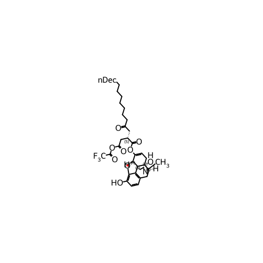 CCCCCCCCCCCCCCCCCC(=O)C[C@@H](CC(=O)OC(=O)C(F)(F)F)C(=O)OC1=CC[C@@]2(O)[C@H]3Cc4ccc(O)c5c4[C@@]2(CCN3C)[C@H]1O5